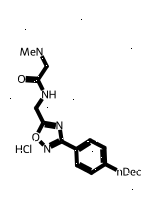 CCCCCCCCCCc1ccc(-c2noc(CNC(=O)CNC)n2)cc1.Cl